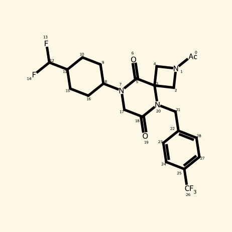 CC(=O)N1CC2(C1)C(=O)N(C1CCC(C(F)F)CC1)CC(=O)N2Cc1ccc(C(F)(F)F)cc1